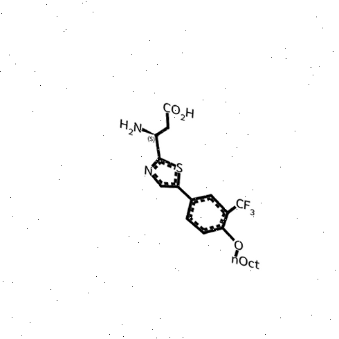 CCCCCCCCOc1ccc(-c2cnc([C@@H](N)CC(=O)O)s2)cc1C(F)(F)F